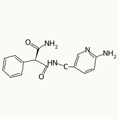 NC(=O)[C@@H](C(=O)NCc1ccc(N)nc1)c1ccccc1